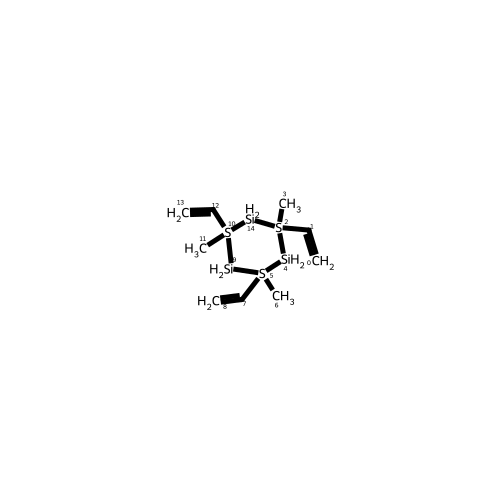 C=CS1(C)[SiH2]S(C)(C=C)[SiH2]S(C)(C=C)[SiH2]1